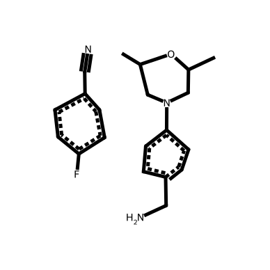 CC1CN(c2ccc(CN)cc2)CC(C)O1.N#Cc1ccc(F)cc1